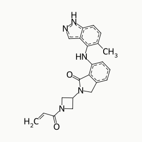 C=CC(=O)N1CC(N2Cc3cccc(Nc4c(C)ccc5[nH]ncc45)c3C2=O)C1